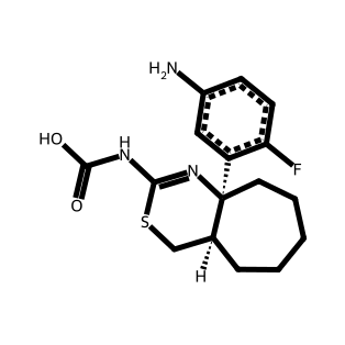 Nc1ccc(F)c([C@]23CCCCC[C@H]2CSC(NC(=O)O)=N3)c1